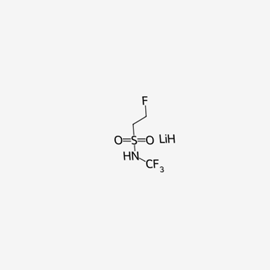 O=S(=O)(CCF)NC(F)(F)F.[LiH]